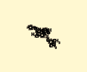 Cc1cc(OCCCc2c3n(c4c(-c5c(C)nc(COCc6ccccc6)nc5C)c(Cl)ccc24)CCCNC3=O)cc(C)c1Cl